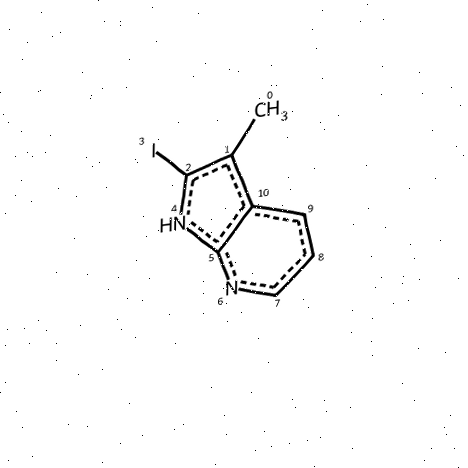 Cc1c(I)[nH]c2ncccc12